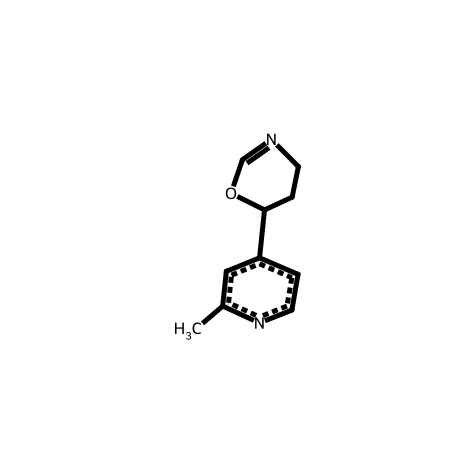 Cc1cc(C2CCN=CO2)ccn1